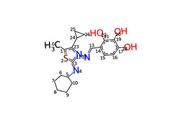 Cc1s/c(=N\C2CCCCC2)n(/N=C/c2ccc(O)c(O)c2O)c1C1CC1